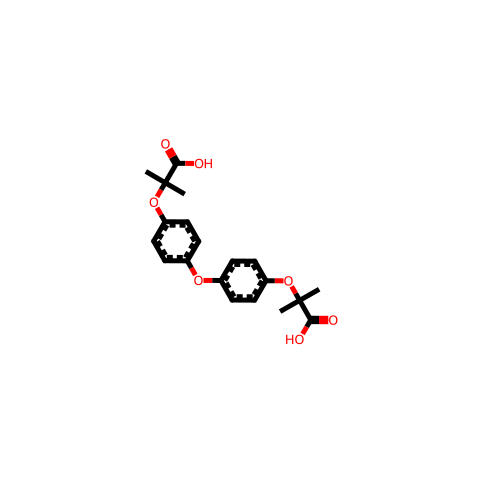 CC(C)(Oc1ccc(Oc2ccc(OC(C)(C)C(=O)O)cc2)cc1)C(=O)O